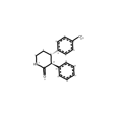 O=C1NCC[C@H](c2ccc(C(F)(F)F)cc2)[C@H]1c1ccccc1